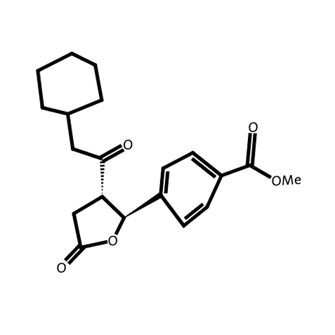 COC(=O)c1ccc([C@H]2OC(=O)C[C@@H]2C(=O)CC2CCCCC2)cc1